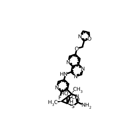 C[C@H]1[C@@H]2[C@@]1([C@H](O)C(F)(F)F)SC(N)=N[C@]2(C)c1cc(Nc2ncnc3cc(OCc4ncco4)cnc23)cnc1F